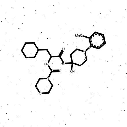 COc1ccccc1N1CCC(C#N)(NC(=O)C(CC2CCCCC2)NC(=O)N2CCOCC2)CC1